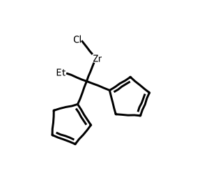 CC[C]([Zr][Cl])(C1=CC=CC1)C1=CC=CC1